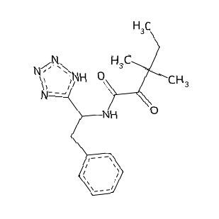 CCC(C)(C)C(=O)C(=O)NC(Cc1ccccc1)c1nnn[nH]1